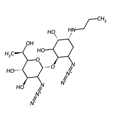 CCCN[C@@H]1CC(N=[N+]=[N-])[C@@H](O[C@H]2OC([C@@H](C)O)[C@@H](O)[C@H](O)C2N=[N+]=[N-])C(O)[C@@H]1O